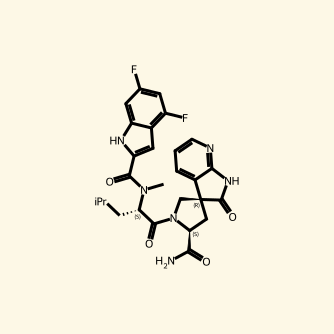 CC(C)C[C@@H](C(=O)N1C[C@]2(C[C@H]1C(N)=O)C(=O)Nc1ncccc12)N(C)C(=O)c1cc2c(F)cc(F)cc2[nH]1